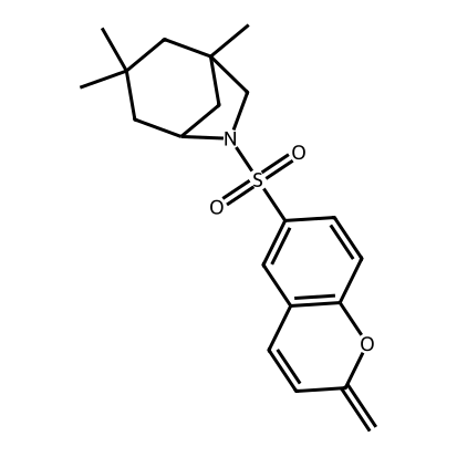 C=C1C=Cc2cc(S(=O)(=O)N3CC4(C)CC3CC(C)(C)C4)ccc2O1